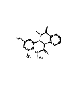 CONC(=O)C1c2ccccc2C(=O)N(C)C1c1cc(C(F)(F)F)cc(C(F)(F)F)c1